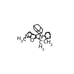 Cc1ccccc1N1[C@@H](C)c2oc3c(ccn3C)c2C12C1CC3CC(C1)CC2C3